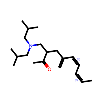 C=C(/C=C\C=C/C)CC(CN(CC(C)C)CC(C)C)C(C)=O